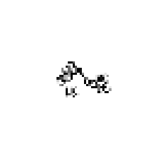 CCN1C(=O)C(C)(C)C(=O)N(C)c2cc(OCCCN(CCn3ccc4occc4c3=O)Cc3cccnc3)ccc21.Cl.Cl